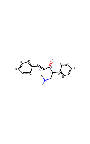 CN(C)CC(C(=O)/C=C/c1ccccc1)c1ccccc1